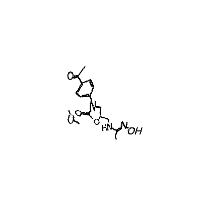 CC(=O)c1ccc(N2CC(CNC(C)=NO)OC2=O)cc1.COC